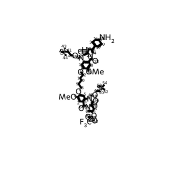 COc1cc2c(cc1OCCCCCOc1cc3c(cc1OC)C(=O)N1C=C(c4ccc(N)cc4)C[C@@H]1C(=O)N3COCC[Si](C)(C)C)N(COCC[Si](C)(C)C)C(=O)[C@H]1CC(OS(=O)(=O)C(F)(F)F)=CN1C2=O